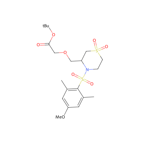 COc1cc(C)c(S(=O)(=O)N2CCS(=O)(=O)CC2COCC(=O)OC(C)(C)C)c(C)c1